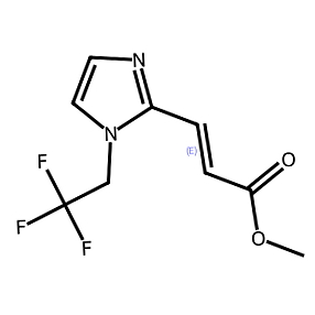 COC(=O)/C=C/c1nccn1CC(F)(F)F